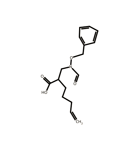 C=CCCCC(CN(C=O)OCc1ccccc1)C(=O)O